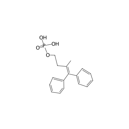 CC(CCOP(=O)(O)O)=C(c1ccccc1)c1ccccc1